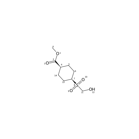 COC(=O)[C@H]1CC[C@@H](S(=O)(=O)CO)CC1